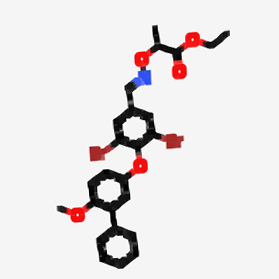 CCOC(=O)C(C)O/N=C/c1cc(Br)c(Oc2ccc(OC)c(-c3ccccc3)c2)c(Br)c1